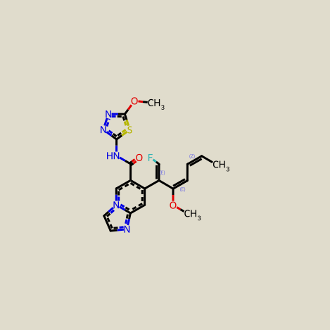 C\C=C/C=C(OC)\C(=C\F)c1cc2nccn2cc1C(=O)Nc1nnc(OC)s1